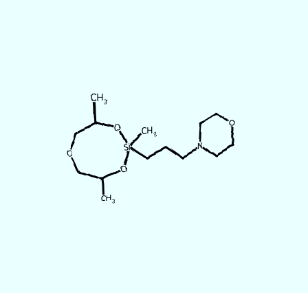 CC1COCC(C)O[Si](C)(CCCN2CCOCC2)O1